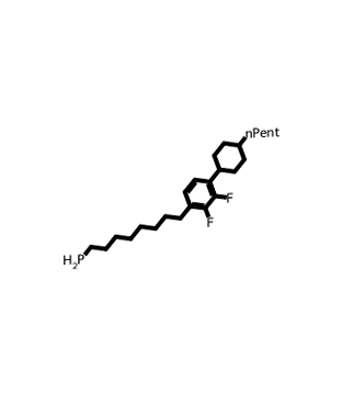 CCCCCC1CCC(c2ccc(CCCCCCCCP)c(F)c2F)CC1